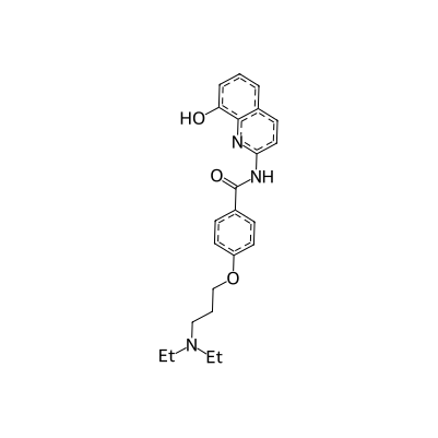 CCN(CC)CCCOc1ccc(C(=O)Nc2ccc3cccc(O)c3n2)cc1